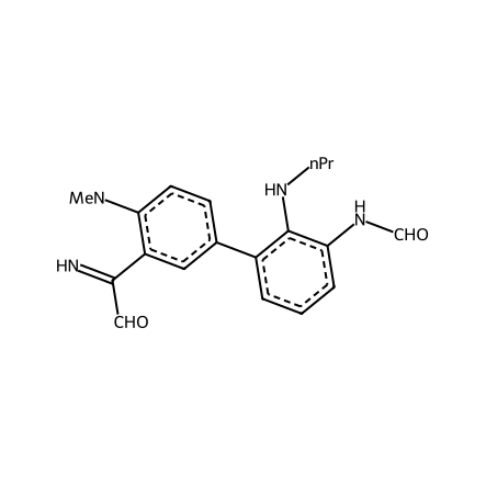 CCCNc1c(NC=O)cccc1-c1ccc(NC)c(C(=N)C=O)c1